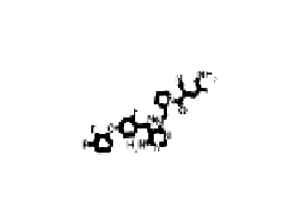 CC(C=C(C#N)C(=O)N1CCCC1Cn1nc(-c2ccc(Oc3cccc(F)c3F)cc2F)c2c(N)ncnc21)CN